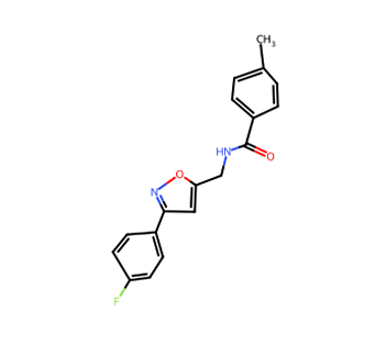 Cc1ccc(C(=O)NCc2cc(-c3ccc(F)cc3)no2)cc1